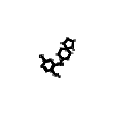 Nc1cnc(Cl)nc1NN1CCC2(CC1)OCCO2